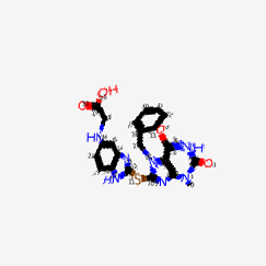 Cn1c(=O)[nH]c(=O)c2c1nc(Sc1nc3cc(NCC(=O)O)ccc3[nH]1)n2Cc1ccccc1